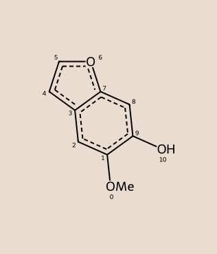 COc1cc2ccoc2cc1O